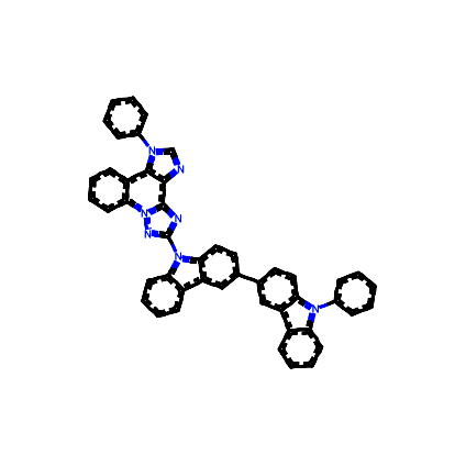 c1ccc(-n2cnc3c2c2ccccc2n2nc(-n4c5ccccc5c5cc(-c6ccc7c(c6)c6ccccc6n7-c6ccccc6)ccc54)nc32)cc1